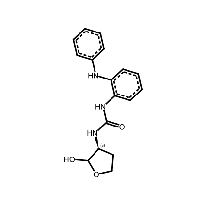 O=C(Nc1ccccc1Nc1ccccc1)N[C@H]1CCOC1O